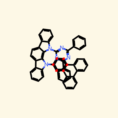 c1ccc(-c2nc(-c3ccccc3)nc(-n3c4ccccc4c4ccc5c6ccccc6n(-c6ccc(-c7ccccc7-c7ccccc7-c7ccccc7)cc6)c5c43)n2)cc1